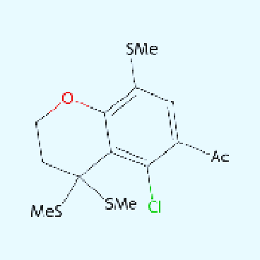 CSc1cc(C(C)=O)c(Cl)c2c1OCCC2(SC)SC